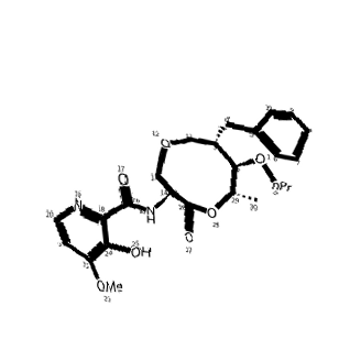 CCCO[C@@H]1[C@@H](Cc2ccccc2)COC[C@H](NC(=O)c2nccc(OC)c2O)C(=O)O[C@H]1C